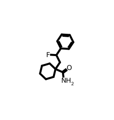 NC(=O)C1(CC(F)c2ccccc2)CCCCC1